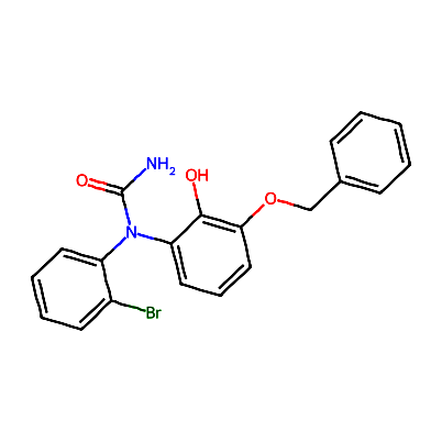 NC(=O)N(c1ccccc1Br)c1cccc(OCc2ccccc2)c1O